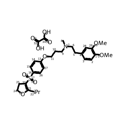 COc1ccc(CCN(C)CCCOc2ccc(S(=O)(=O)C3=C(C(C)C)OCC3)cc2)cc1OC.O=C(O)C(=O)O